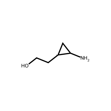 NC1C[C]1CCO